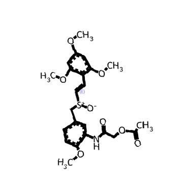 COc1cc(OC)c(/C=C/[S+]([O-])Cc2ccc(OC)c(NC(=O)COC(C)=O)c2)c(OC)c1